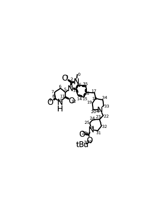 Cn1c(=O)n(C2CCC(=O)NC2=O)c2ccc(CC3CCN(CC4CCN(C(=O)OC(C)(C)C)CC4)CC3)cc21